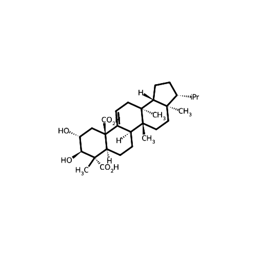 CC(C)[C@H]1CC[C@@H]2[C@]1(C)CC[C@]1(C)[C@H]3CC[C@@H]4[C@](C(=O)O)(C[C@@H](O)[C@H](O)[C@@]4(C)C(=O)O)C3=CC[C@@]21C